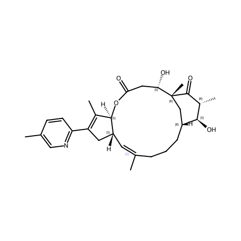 CC1=C(c2ccc(C)cn2)C[C@H]2/C=C(/C)CCC[C@@H]3C[C@@](C)(C(=O)[C@H](C)[C@H]3O)[C@@H](O)CC(=O)O[C@H]12